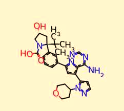 CC(C)(C)[C@]1(c2cccc(-c3cc(-c4ccnn4C4CCOCC4)c4c(N)ncnn34)c2)C[C@@H](O)CN1C(=O)O